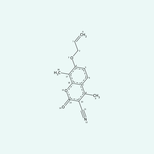 C=CCOc1ccc2c(C)c(C#N)c(=O)oc2c1C